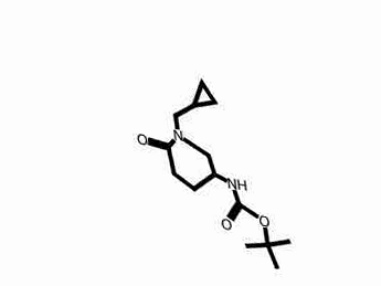 CC(C)(C)OC(=O)NC1CCC(=O)N(CC2CC2)C1